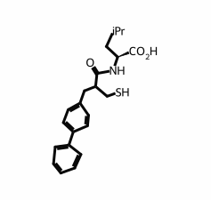 CC(C)C[C@H](NC(=O)C(CS)Cc1ccc(-c2ccccc2)cc1)C(=O)O